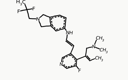 C/C=C(\CN(C)C)c1c(F)cncc1/C=C/Nc1ccc2c(c1)CN(CC(C)(F)F)C2